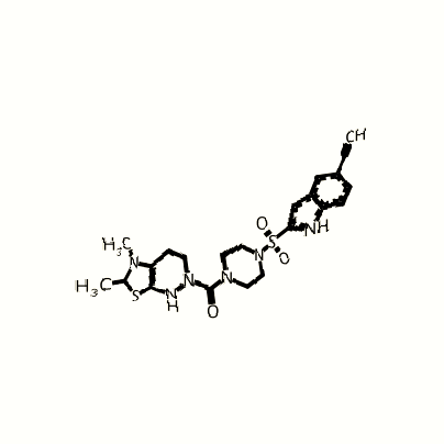 C#Cc1ccc2[nH]c(S(=O)(=O)N3CCN(C(=O)N4CCC5=C(N4)SC(C)N5C)CC3)cc2c1